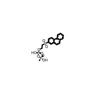 CP(=O)(O)OP(=O)(O)OCCS(=O)(=O)c1ccc2c(ccc3ccccc32)c1